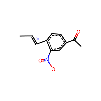 C/C=C/c1ccc(C(C)=O)cc1[N+](=O)[O-]